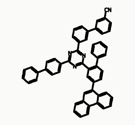 N#Cc1cccc(-c2cccc(-c3nc(-c4ccc(-c5ccccc5)cc4)nc(-c4cc(-c5cc6ccccc6c6ccccc56)ccc4-c4ccccc4)n3)c2)c1